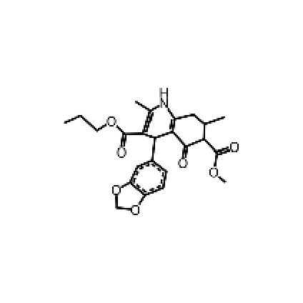 CCCOC(=O)C1=C(C)NC2=C(C(=O)C(C(=O)OC)C(C)C2)C1c1ccc2c(c1)OCO2